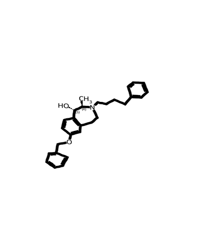 C[C@@H]1[C@@H](O)c2ccc(OCc3ccccc3)cc2CCN1CCCCc1ccccc1